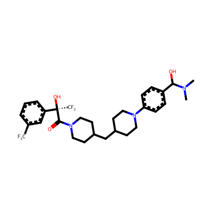 CN(C)C(O)c1ccc(N2CCC(CC3CCN(C(=O)[C@](O)(c4cccc(C(F)(F)F)c4)C(F)(F)F)CC3)CC2)cc1